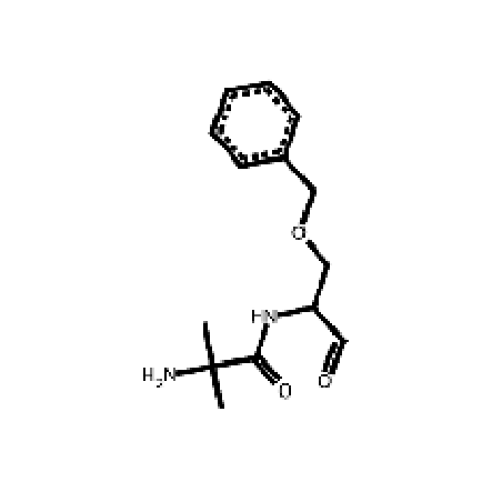 CC(C)(N)C(=O)NC([C]=O)COCc1ccccc1